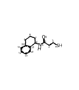 O=C(CCS)NC1CCCc2ccccc21